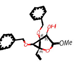 C=C[C@]12OC(OC)[C@H](O)[C@@]1(OCc1ccccc1)C2OCc1ccccc1